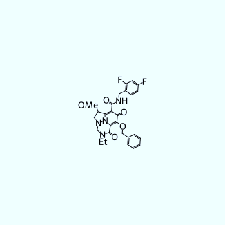 CCN1CN2CC(OC)c3c(C(=O)NCc4ccc(F)cc4F)c(=O)c(OCc4ccccc4)c(n32)C1=O